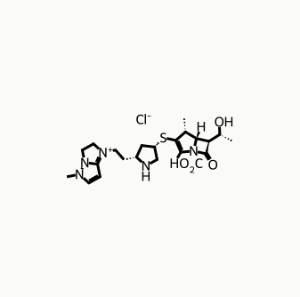 C[C@@H](O)[C@H]1C(=O)N2C(C(=O)O)=C(S[C@@H]3CN[C@H](CC[N+]4=C5C=CN(C)N5CC4)C3)[C@H](C)[C@H]12.[Cl-]